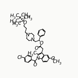 COc1ccc2c(c1)c(CC(=O)OC(CN1CCN(CCCO[Si](C)(C)C(C)(C)C)CC1)c1ccccc1)c(C)n2C(=O)c1ccc(Cl)cc1